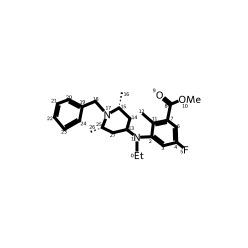 CCN(c1cc(F)cc(C(=O)OC)c1C)C1C[C@@H](C)N(Cc2ccccc2)[C@@H](C)C1